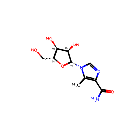 Cc1c(C(N)=O)ncn1[C@@H]1O[C@H](CO)[C@@H](O)[C@H]1O